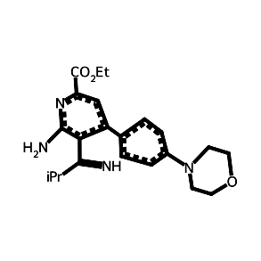 CCOC(=O)c1cc(-c2ccc(N3CCOCC3)cc2)c(C(=N)C(C)C)c(N)n1